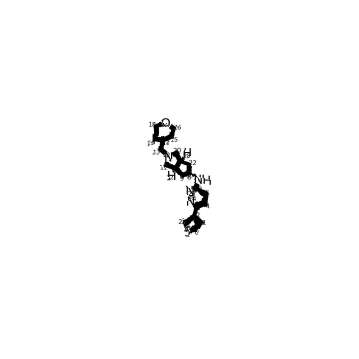 c1cc(-c2ccc(N[C@H]3C[C@@H]4CN(CC5CCOCC5)C[C@@H]4C3)nn2)cs1